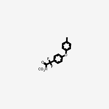 Cc1ccc(Oc2ccc(C(F)(F)C(=O)C(=O)O)cc2)cc1